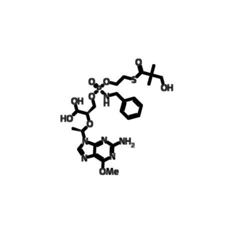 COc1nc(N)nc2c1ncn2[C@@H](C)O[C@H](COP(=O)(NCc1ccccc1)OCCSC(=O)C(C)(C)CO)C(O)O